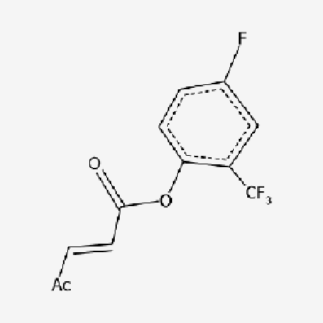 CC(=O)/C=C/C(=O)Oc1ccc(F)cc1C(F)(F)F